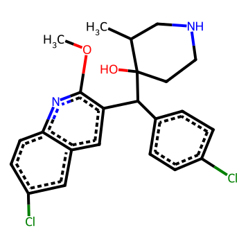 COc1nc2ccc(Cl)cc2cc1C(c1ccc(Cl)cc1)C1(O)CCNCC1C